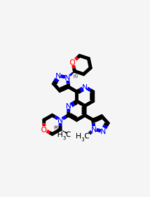 C[C@@H]1COCCN1c1cc(-c2ccnn2C)c2ccnc(-c3ccnn3[C@@H]3CCCCO3)c2n1